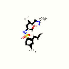 Cc1ccc(S(=O)(=O)N[C@H](CO)CC(C)CCNC(=O)O)c(CCC(C)C)c1